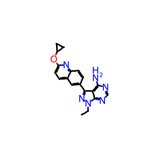 CCn1nc(-c2ccc3nc(OC4CC4)ccc3c2)c2c(N)ncnc21